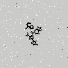 Cc1cccn2nc([C@@H]3c4nc[nH]c4CCN3C(=O)c3oc(-c4cn(C)cn4)nc3C(F)F)cc12